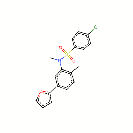 Cc1ccc(-c2ccco2)cc1N(C)S(=O)(=O)c1ccc(Cl)cc1